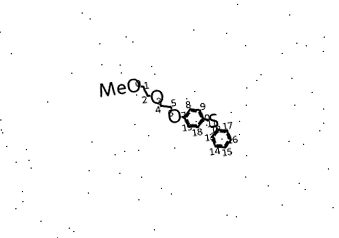 COCCOCCOc1ccc(Sc2ccccc2)cc1